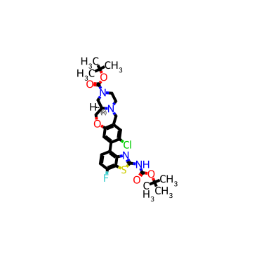 CC(C)(C)OC(=O)Nc1nc2c(-c3cc4c(cc3Cl)CN3CCN(C(=O)OC(C)(C)C)C[C@@H]3CO4)ccc(F)c2s1